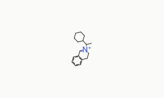 CC(C1CCCCC1)[N+]1=Cc2ccccc2CC1